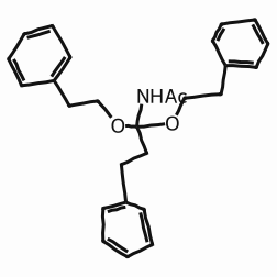 CC(=O)NC(CCc1ccccc1)(OCCc1ccccc1)OCCc1ccccc1